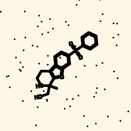 CC1(CO)NCCc2c1oc1cc(S(=O)(=O)c3ccccc3)ccc21